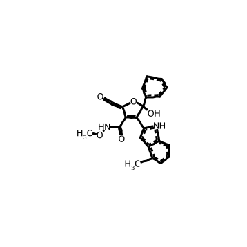 CONC(=O)C1=C(c2cc3c(C)cccc3[nH]2)C(O)(c2ccccc2)OC1=C=O